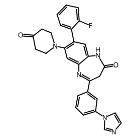 O=C1CCN(c2cc3c(cc2-c2ccccc2F)NC(=O)CC(c2cccc(-n4ccnc4)c2)=N3)CC1